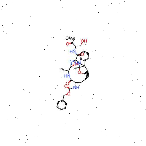 COC(=O)[C@H](CO)NC(=O)c1nc2oc1C13c4ccccc4N[C@H]1Oc1ccc(cc13)C[C@H](NC(=O)OCc1ccccc1)C(=O)N[C@H]2C(C)C